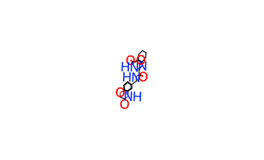 O=C1COc2ccc(CNC(=O)c3nc4c(c(=O)[nH]3)C3CCC4O3)cc2N1